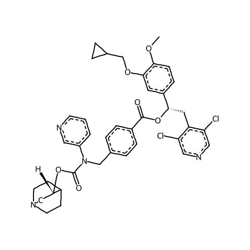 COc1ccc([C@H](Cc2c(Cl)cncc2Cl)OC(=O)c2ccc(CN(C(=O)O[C@H]3CN4CCC3CC4)c3cccnc3)cc2)cc1OCC1CC1